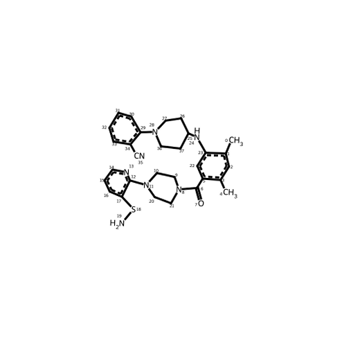 Cc1cc(C)c(C(=O)N2CCN(c3ncccc3SN)CC2)cc1NC1CCN(c2ccccc2C#N)CC1